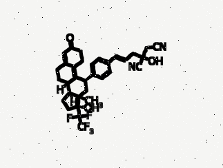 C[C@]12C[C@H](c3ccc(/C=C/CC(O)(C#N)CC#N)cc3)C3=C4CCC(=O)C=C4CC[C@H]3[C@@H]1CC[C@@]2(O)C(F)(F)C(F)(F)F